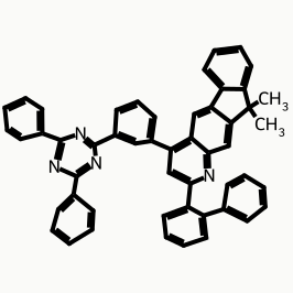 CC1(C)c2ccccc2-c2cc3c(-c4cccc(-c5nc(-c6ccccc6)nc(-c6ccccc6)n5)c4)cc(-c4ccccc4-c4ccccc4)nc3cc21